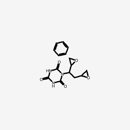 O=c1[nH]c(=O)n(C(CC2CO2)C2CO2)c(=O)[nH]1.c1ccccc1